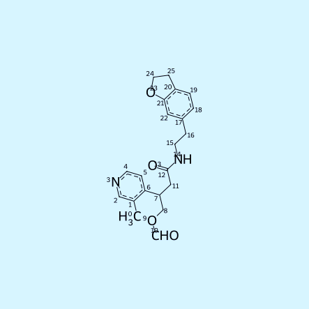 Cc1cnccc1C(COC=O)CC(=O)NCCc1ccc2c(c1)OCC2